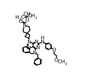 COCCOc1ccc(Nc2nc(N(Cc3ccccc3)Cc3ccccc3)c3ncn(C4CC5(CCN(C(=O)OC(C)(C)C)CC5)C4)c3n2)cc1